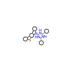 c1ccc(C2NC(c3ccccc3)NC(n3c4ccccc4c4cc5c(cc43)sc3ccccc35)N2)cc1